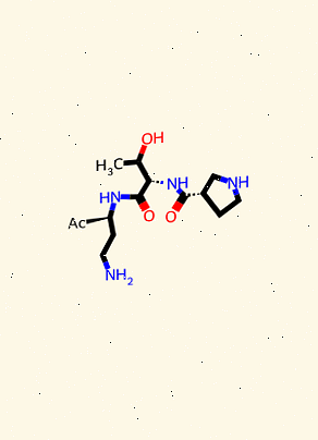 CC(=O)[C@H](CCN)NC(=O)[C@@H](NC(=O)[C@H]1CCNC1)C(C)O